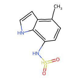 Cc1ccc(N[SH](=O)=O)c2[nH]ccc12